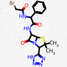 CC1(C)SC2C(NC(=O)C(NC(=O)CBr)c3ccccc3)C(=O)N2C1c1nnn[nH]1